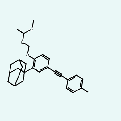 [CH2]c1ccc(C#Cc2ccc(OCOC(C)OC)c(C34CC5CC(CC(C5)C3)C4)c2)cc1